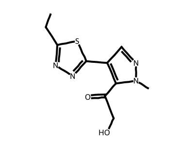 CCc1nnc(-c2cnn(C)c2C(=O)CO)s1